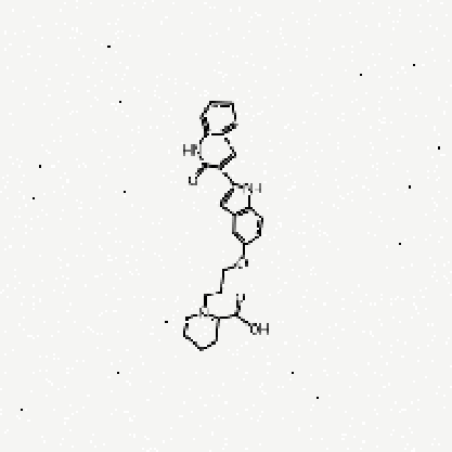 O=C(O)C1CCCCN1CCCOc1ccc2[nH]c(-c3cc4ccccc4[nH]c3=O)cc2c1